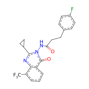 O=C(CCc1ccc(F)cc1)Nn1c(C2CC2)nc2c(C(F)(F)F)cccc2c1=O